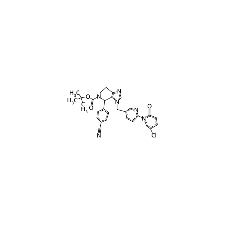 CC(C)(C)OC(=O)N1CCc2ncn(Cc3ccc(-n4cc(Cl)ccc4=O)nc3)c2C1c1ccc(C#N)cc1